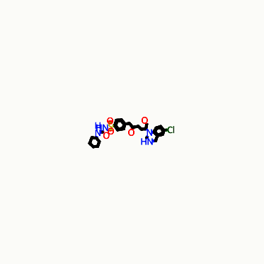 O=CC(CCC(=O)Cc1ccc(S(=O)(=O)NC(=O)NC2CCCCC2)cc1)N1CNCc2cc(Cl)ccc21